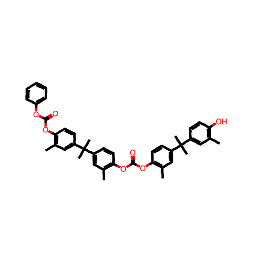 Cc1cc(C(C)(C)c2ccc(OC(=O)Oc3ccc(C(C)(C)c4ccc(OC(=O)Oc5ccccc5)c(C)c4)cc3C)c(C)c2)ccc1O